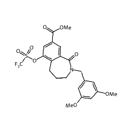 COC(=O)c1cc(OS(=O)(=O)C(F)(F)F)c2c(c1)C(=O)N(Cc1cc(OC)cc(OC)c1)CCC2